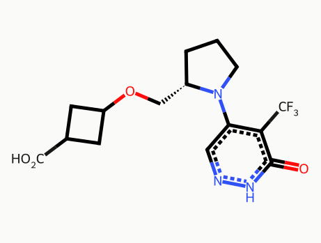 O=C(O)C1CC(OC[C@@H]2CCCN2c2cn[nH]c(=O)c2C(F)(F)F)C1